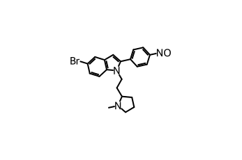 CN1CCCC1CCn1c(-c2ccc(N=O)cc2)cc2cc(Br)ccc21